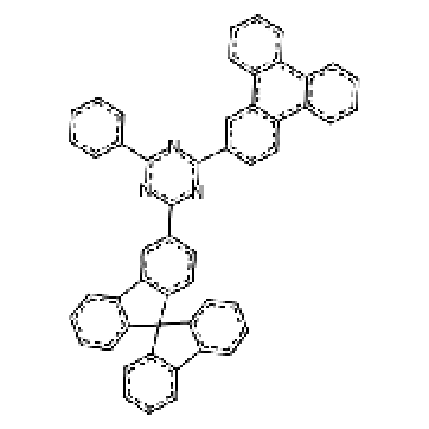 c1ccc(-c2nc(-c3ccc4c(c3)-c3ccccc3C43c4ccccc4-c4ccccc43)nc(-c3ccc4c5ccccc5c5ccccc5c4c3)n2)cc1